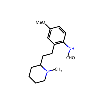 COc1ccc(NC=O)c(CCC2CCCCN2C)c1